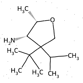 CC(C)C1(C(C)(C)C)CO[C@@H](C)[C@H]1N